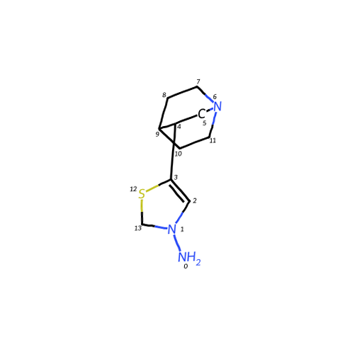 NN1C=C(C2CN3CCC2CC3)SC1